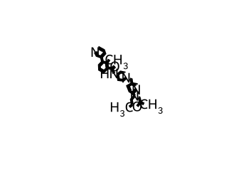 Cc1c(C(=O)NC2CCN(Cc3ccc(N4CC(C)OC(C)C4)nc3)CC2)cccc1-c1cccnc1